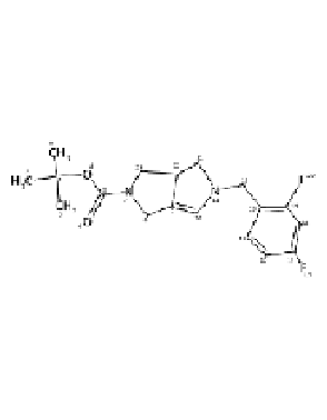 CC(C)(C)OC(=O)N1CC2=CN(Cc3ccc(F)cc3F)CC2C1